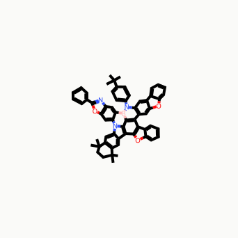 CC(C)(C)c1ccc(N2B3c4cc5nc(-c6ccccc6)oc5cc4-n4c5cc6c(cc5c5c7oc8ccccc8c7c(c3c54)-c3cc4oc5ccccc5c4cc32)C(C)(C)CCC6(C)C)cc1